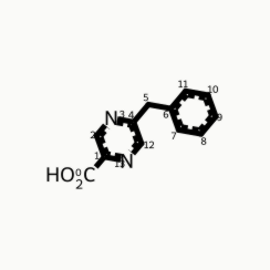 O=C(O)c1cnc(Cc2ccccc2)cn1